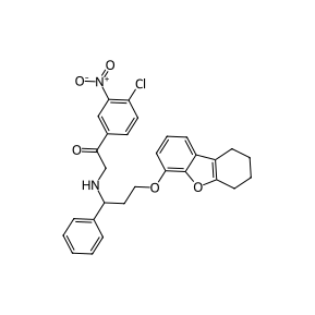 O=C(CNC(CCOc1cccc2c3c(oc12)CCCC3)c1ccccc1)c1ccc(Cl)c([N+](=O)[O-])c1